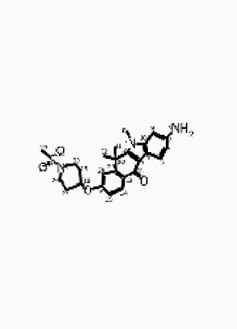 Cn1c2c(c3ccc(N)cc31)C(=O)c1ccc(OC3CCN(S(C)(=O)=O)CC3)cc1C2(C)C